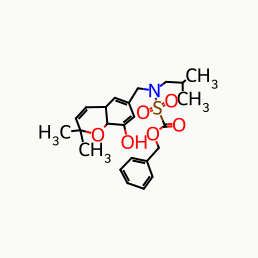 CC(C)CN(CC1=CC2C=CC(C)(C)OC2C(O)=C1)S(=O)(=O)C(=O)OCc1ccccc1